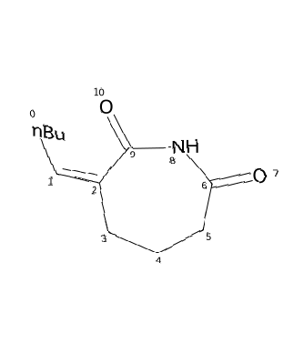 CCCCC=C1CCCC(=O)NC1=O